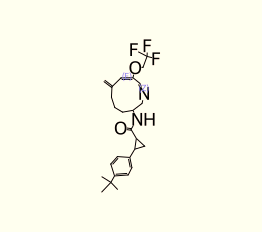 C=C1/C=C(OCC(F)(F)F)\C=N/CC(NC(=O)C2CC2c2ccc(C(C)(C)C)cc2)CCC1